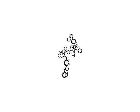 CC1(C)OCC(Cc2ccc(OCc3ccccn3)cc2)N1C(=O)OCNC(C1CCCC1)S(=O)(=O)c1ccc2c(c1)OCO2